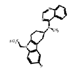 CN(c1ncnc2ccccc12)C1CCc2c(c3cc(F)ccc3n2CC(=O)O)C1